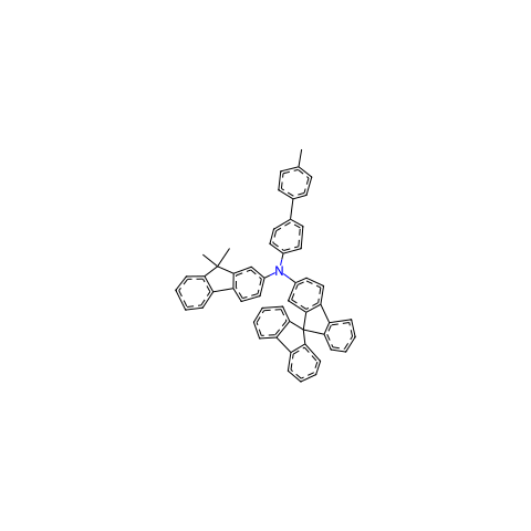 Cc1ccc(-c2ccc(N(c3ccc4c(c3)C(C)(C)c3ccccc3-4)c3ccc4c(c3)C3(c5ccccc5-c5ccccc53)c3ccccc3-4)cc2)cc1